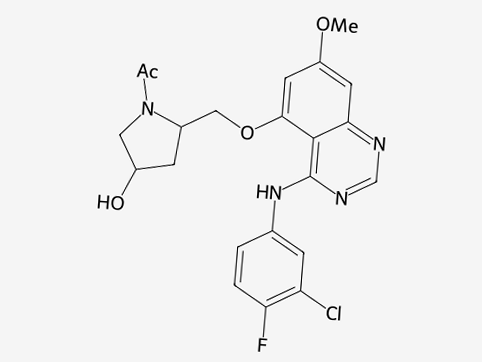 COc1cc(OCC2CC(O)CN2C(C)=O)c2c(Nc3ccc(F)c(Cl)c3)ncnc2c1